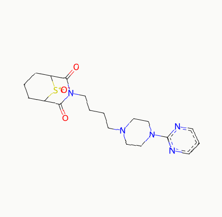 O=C1C2CCCC(C(=O)N1CCCCN1CCN(c3ncccn3)CC1)[S+]2[O-]